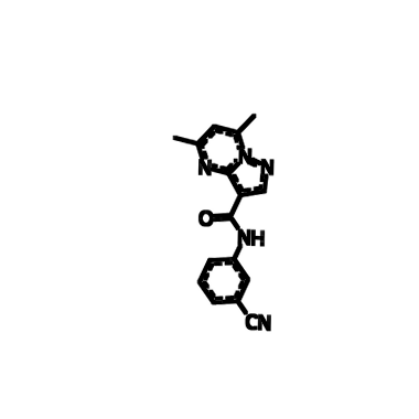 Cc1cc(C)n2ncc(C(=O)Nc3cccc(C#N)c3)c2n1